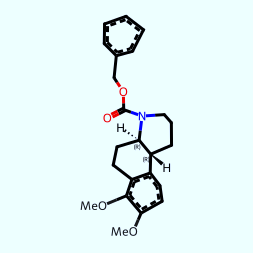 COc1ccc2c(c1OC)CC[C@@H]1[C@@H]2CCCN1C(=O)OCc1ccccc1